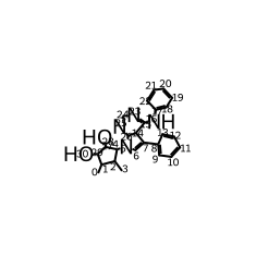 CC1C(C)C(N2C=C(c3ccccc3)C3C(Nc4ccccc4)=NC=NC32)C(O)C1O